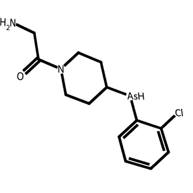 NCC(=O)N1CCC([AsH]c2ccccc2Cl)CC1